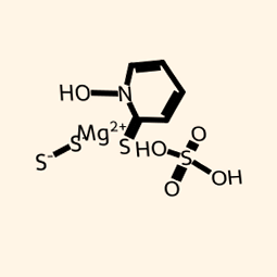 O=S(=O)(O)O.On1ccccc1=S.[Mg+2].[S-][S-]